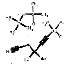 C#CCC(O)(C#C[Si](C)(C)C)CCCC.C[Si](C)(C)O[Si](C)(C)C